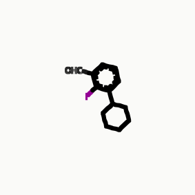 O=Cc1cccc(C2CCCCC2)c1I